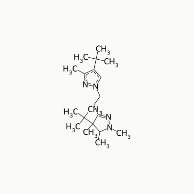 Cc1nn(CCC2=NN(C)C(C)C2(C)C(C)(C)C)cc1C(C)(C)C